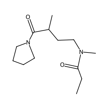 CCC(=O)N(C)CCC(C)C(=O)N1CCCC1